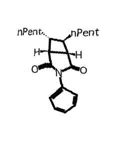 CCCCC[C@@H]1[C@@H](CCCCC)[C@@H]2C(=O)N(c3ccccc3)C(=O)[C@H]12